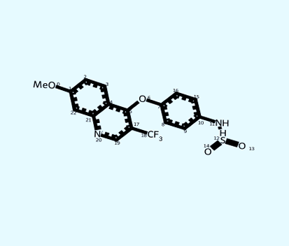 COc1ccc2c(Oc3ccc(N[SH](=O)=O)cc3)c(C(F)(F)F)cnc2c1